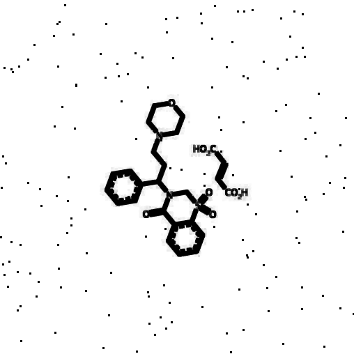 O=C(O)C=CC(=O)O.O=C1c2ccccc2S(=O)(=O)CN1C(CCN1CCOCC1)c1ccccc1